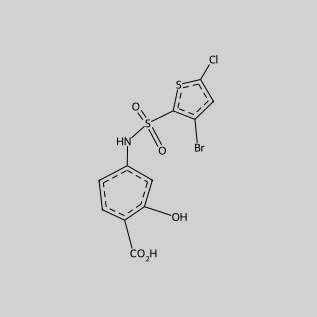 O=C(O)c1ccc(NS(=O)(=O)c2sc(Cl)cc2Br)cc1O